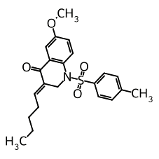 CCCC/C=C1\CN(S(=O)(=O)c2ccc(C)cc2)c2ccc(OC)cc2C1=O